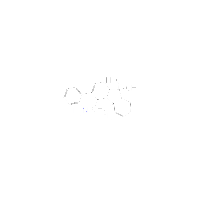 CC1C(c2ccccc2N)=CCC2C1C1(C)C=CCCC1C2(C)C